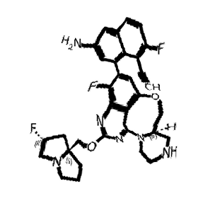 C#Cc1c(F)ccc2cc(N)cc(-c3cc4c5c(nc(OC[C@@]67CCCN6C[C@H](F)C7)nc5c3F)N3CCNC[C@@H]3CO4)c12